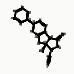 N#C[C@@H]1OC(=O)N2c3ccc(-c4cccnc4)cc3C[C@@H]12